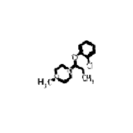 CCC(Oc1ccccc1Cl)N1CCN(C)CC1